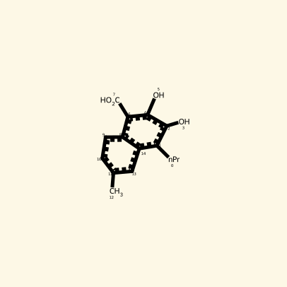 CCCc1c(O)c(O)c(C(=O)O)c2ccc(C)cc12